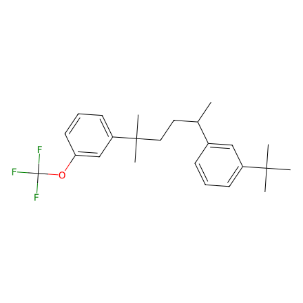 CC(CCC(C)(C)c1cccc(OC(F)(F)F)c1)c1cccc(C(C)(C)C)c1